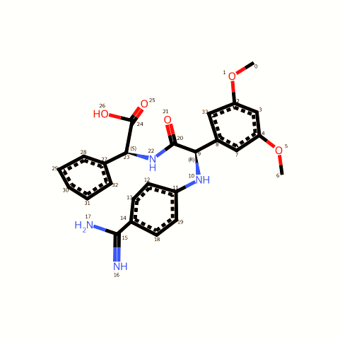 COc1cc(OC)cc([C@@H](Nc2ccc(C(=N)N)cc2)C(=O)N[C@H](C(=O)O)c2ccccc2)c1